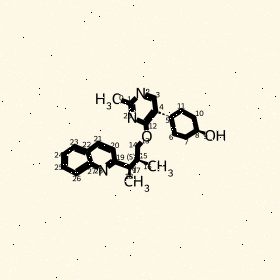 Cc1ncc([C@H]2CC[C@H](O)CC2)c(OC[C@@H](C)[C@@H](C)c2ccc3ccccc3n2)n1